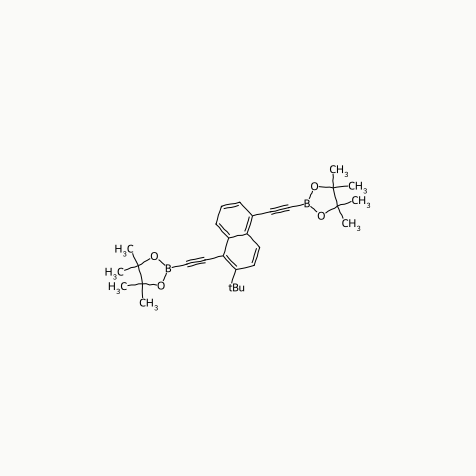 CC(C)(C)c1ccc2c(C#CB3OC(C)(C)C(C)(C)O3)cccc2c1C#CB1OC(C)(C)C(C)(C)O1